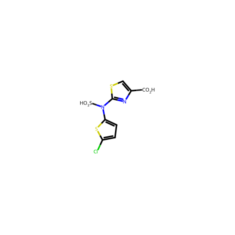 O=C(O)c1csc(N(c2ccc(Cl)s2)S(=O)(=O)O)n1